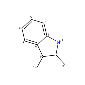 CC1[N]c2ccccc2C1C